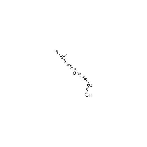 CSCCC[S+]([O-])CCSCSCSCCSC(=O)CCSCSCSCCC(=O)SCSCCO